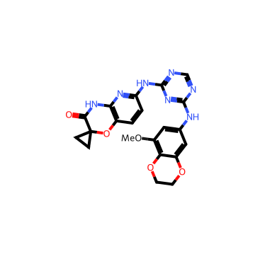 COc1cc(Nc2ncnc(Nc3ccc4c(n3)NC(=O)C3(CC3)O4)n2)cc2c1OCCO2